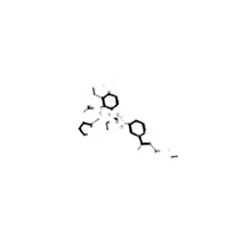 CCOC(=O)c1oc2ccc(S(=O)(=O)N(CC)c3ccc(Cl)c(CC)c3N(Cc3ccco3)C(C)=O)cc2c1C